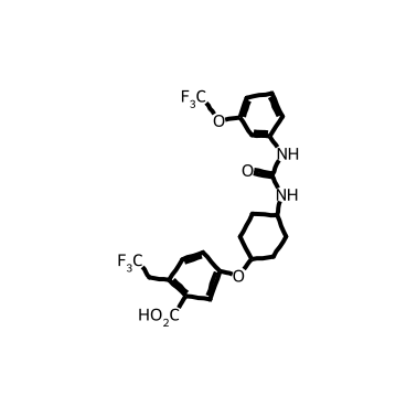 O=C(Nc1cccc(OC(F)(F)F)c1)NC1CCC(Oc2ccc(CC(F)(F)F)c(C(=O)O)c2)CC1